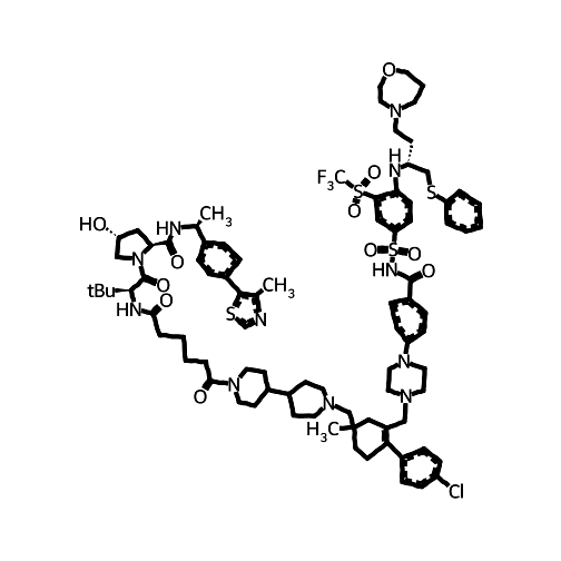 Cc1ncsc1-c1ccc([C@H](C)NC(=O)[C@@H]2C[C@@H](O)CN2C(=O)[C@@H](NC(=O)CCCCC(=O)N2CCC(C3CCN(CC4(C)CCC(c5ccc(Cl)cc5)=C(CN5CCN(c6ccc(C(=O)NS(=O)(=O)c7ccc(N[C@H](CCN8CCCOCC8)CSc8ccccc8)c(S(=O)(=O)C(F)(F)F)c7)cc6)CC5)C4)CC3)CC2)C(C)(C)C)cc1